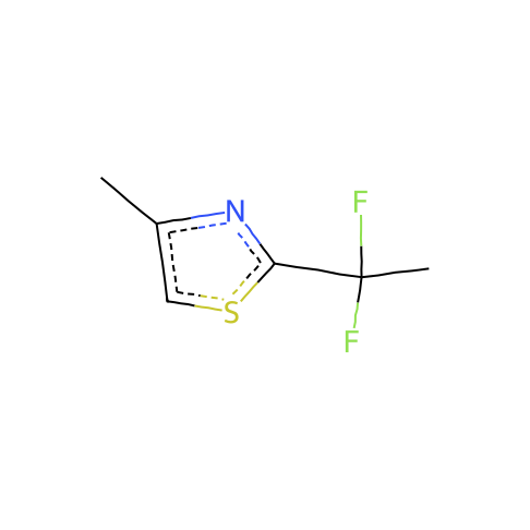 Cc1csc(C(C)(F)F)n1